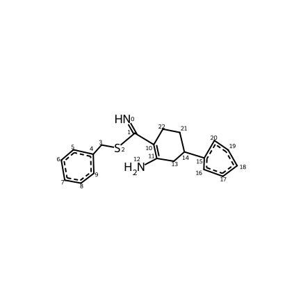 N=C(SCc1ccccc1)C1=C(N)CC(c2ccccc2)CC1